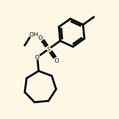 CO.Cc1ccc(S(=O)(=O)OC2CCCCCC2)cc1